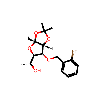 C[C@@H](O)[C@H]1O[C@@H]2OC(C)(C)O[C@@H]2[C@H]1OCc1ccccc1Br